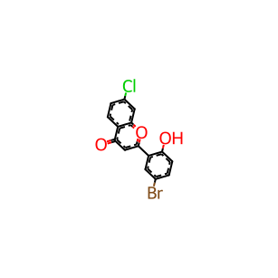 O=c1cc(-c2cc(Br)ccc2O)oc2cc(Cl)ccc12